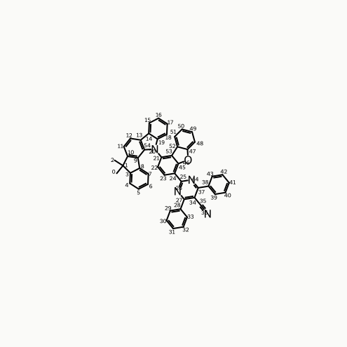 CC1(C)c2ccccc2-c2c1ccc1c3ccccc3n(-c3ccc(-c4nc(-c5ccccc5)c(C#N)c(-c5ccccc5)n4)c4oc5ccccc5c34)c21